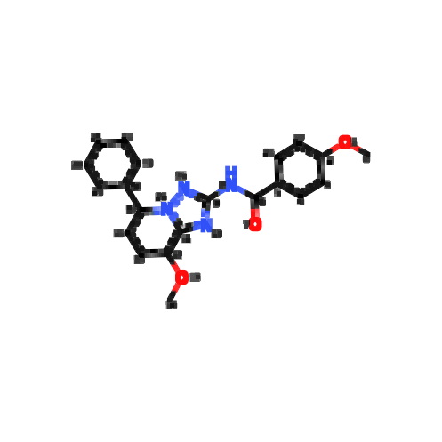 COc1ccc(C(=O)Nc2nc3c(OC)ccc(-c4ccccc4)n3n2)cc1